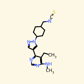 CCc1c(NC)ncnc1-c1cnn(C2CCC(CN=C=S)CC2)c1